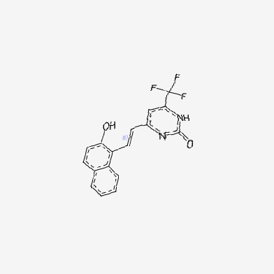 O=c1nc(/C=C/c2c(O)ccc3ccccc23)cc(C(F)(F)F)[nH]1